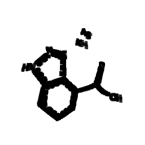 O=C(O)c1cccc2[nH]nnc12.[Ag].[KH]